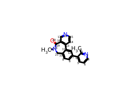 Cc1ncccc1-c1ccc2c(c1)-c1ccncc1C(=O)N(C)C2